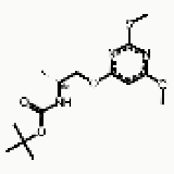 COc1cc(OC[C@@H](C)NC(=O)OC(C)(C)C)nc(SC)n1